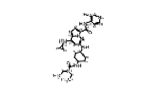 CCN(CC)C(=O)NC1CCC(Nc2cc(NC3CC3)c3ncc(C(=O)Nc4ccncc4F)n3n2)CC1